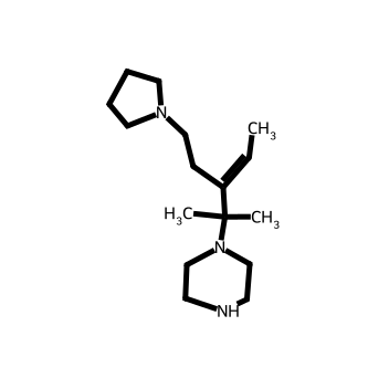 CC=C(CCN1CCCC1)C(C)(C)N1CCNCC1